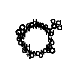 CC[C@H](C)[C@@H]1NC(=O)[C@H](C)N(C)C(=O)C[C@@H](C(=O)N2CCCCC2)N(C)C(=O)[C@H](C2CCCCC2)N(C)C(=O)C2(CCCC2)NC(=O)[C@@H]2CCCN2C(=O)[C@H](CCc2cc(Cl)c(Cl)c(OC)c2)NC(=O)CN(C)C(=O)[C@H](CC2CCCCC2)N(C)C(=O)CN(C)C(=O)CN(C)C1=O